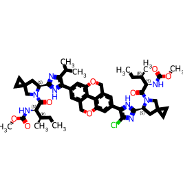 CC[C@@H](C)[C@H](NC(=O)OC)C(=O)N1CC2(CC2)C[C@H]1c1nc(Cl)c(-c2cc3c4c(c2)OCc2cc(-c5[nH]c([C@@H]6CC7(CC7)CN6C(=O)[C@@H](NC(=O)OC)[C@H](C)CC)nc5C(C)C)cc(c2-4)OC3)[nH]1